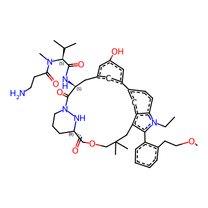 CCn1c(-c2ccccc2CCOC)c2c3cc(ccc31)-c1cc(O)cc(c1)C[C@H](NC(=O)[C@H](C(C)C)N(C)C(=O)CCN)C(=O)N1CCC[C@](C=O)(COCC(C)(C)C2)N1